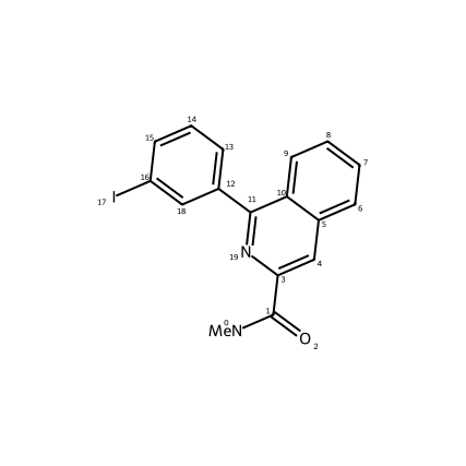 CNC(=O)c1cc2ccccc2c(-c2cccc(I)c2)n1